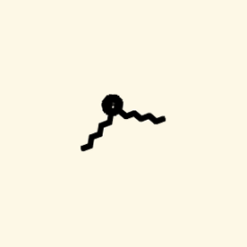 CCCCCC[C]12[CH]3[CH]4[CH]5[C]1(CCCCCC)[Fe]43521678[CH]2[CH]1[CH]6[CH]7[CH]28